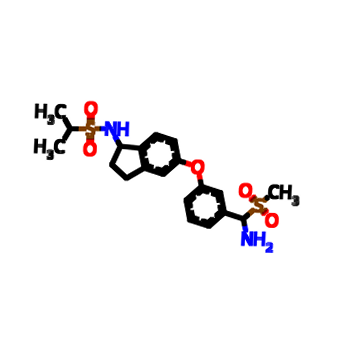 CC(C)S(=O)(=O)NC1CCc2cc(Oc3cccc(C(N)S(C)(=O)=O)c3)ccc21